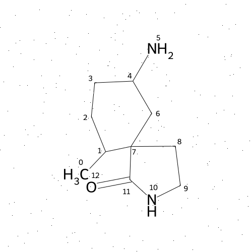 CC1CCC(N)CC12CCNC2=O